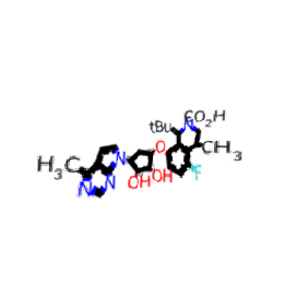 Cc1ncnc2c1ccn2[C@@H]1C[C@H](Oc2ccc(F)c3c2C(C(C)(C)C)N(C(=O)O)CC3C)[C@@H](O)[C@H]1O